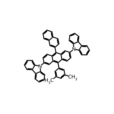 Cc1cc(C)cc(-c2c3ccc(-n4c5ccccc5c5ccccc54)cc3c(-c3ccc4ccccc4c3)c3ccc(-n4c5ccccc5c5ccccc54)cc23)c1